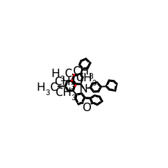 CC(C)(C)c1cc(-c2ccc3oc4ccccc4c3c2N(c2ccc(-c3ccccc3)cc2)c2cccc(-c3ccccc3)c2)cc(C(C)(C)C)c1